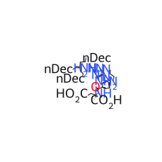 CCCCCCCCCCCCC(N)(CCCCCCCCCCCC)CCCCCCCCCCCC.CN(Cc1cnc2nc(N)nc(N)c2n1)c1ccc(C(=O)N[C@@H](CCC(=O)O)C(=O)O)cc1